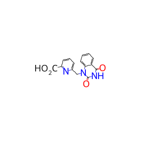 O=C(O)c1cccc(Cn2c(=O)[nH]c(=O)c3ccccc32)n1